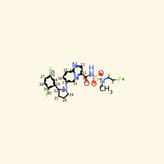 CN(CCF)S(=O)(=O)NC(=O)c1cnc2ccc(N3CCCC3c3cc(F)ccc3F)cn12